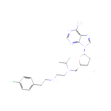 CC(C)N(CCNCCc1ccc(Cl)cc1)C[C@H]1O[C@@H](n2cnc3c(N)ncnc32)[C@H](O)[C@@H]1O